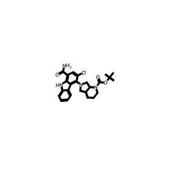 CC(C)(C)OC(=O)N1CCCC2CN(c3c(Cl)cc(C(N)=O)c4[nH]c5ccccc5c34)CC21